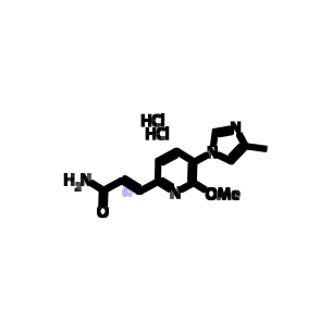 COc1nc(/C=C/C(N)=O)ccc1-n1cnc(C)c1.Cl.Cl